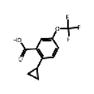 O=C(O)c1cc(OC(F)(F)F)ccc1C1CC1